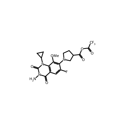 COc1c(N2CCC(C(=O)OC(=O)C(F)(F)F)C2)c(F)cc2c(=O)n(N)c(=O)n(C3CC3)c12